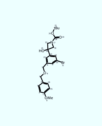 COc1ccc(COCc2cc(Br)cc(C3(O)CN(C(=O)OC(C)(C)C)C3)c2)cc1